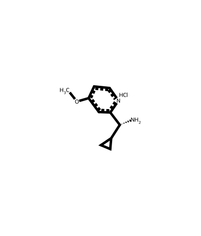 COc1ccnc([C@H](N)C2CC2)c1.Cl